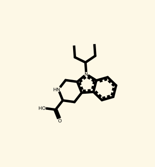 CCC(CC)n1c2c(c3ccccc31)CC(C(=O)O)NC2